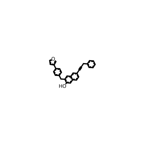 Oc1cc2ccc(C#CCc3ccccc3)cc2cc1Cc1ccc(-c2ccoc2)cc1